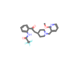 COc1ncccc1CN1CCC(CC(=O)c2ccccc2NC(=O)C(F)(F)F)CC1